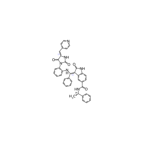 C[C@@H](NC(=O)c1ccc2c(c1)/C(=C(/Nc1ccccc1N1C(=O)N/C(=C\c3ccncc3)C1=O)c1ccccc1)C(=O)N2)c1ccccc1